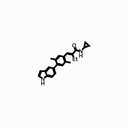 CC/C(=C\c1cc(C)c(-c2ccc3[nH]ccc3c2)cc1C)C(=O)NC1CC1